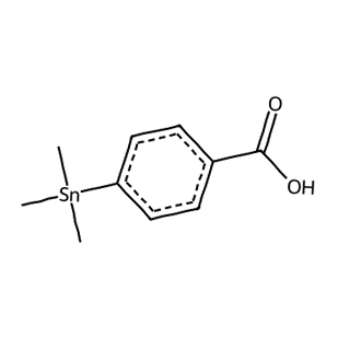 [CH3][Sn]([CH3])([CH3])[c]1ccc(C(=O)O)cc1